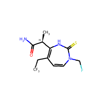 C[C@H](C(N)=O)C1=C(CC(F)(F)F)C=CN(CF)C(=S)N1